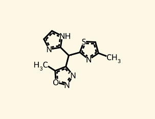 Cc1csc([C](c2ncc[nH]2)c2nnoc2C)n1